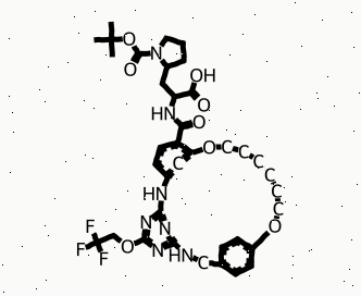 CC(C)(C)OC(=O)N1CCCC1CC(NC(=O)c1ccc2cc1OCCCCCCOc1ccc(cc1)CNc1nc(nc(OCC(F)(F)F)n1)N2)C(=O)O